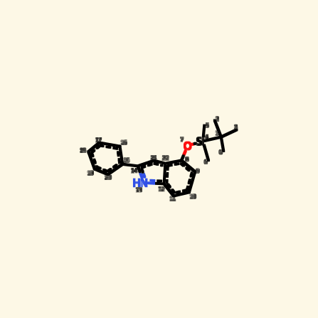 CC(C)(C)[Si](C)(C)Oc1cccc2[nH]c(-c3ccccc3)cc12